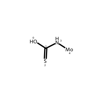 OC(=S)[NH][Mo]